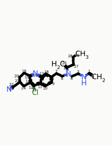 C=CNCCN(CCc1ccc2c(Cl)c3c(nc2c1)CCC(C#N)C3)C(=C)CCC